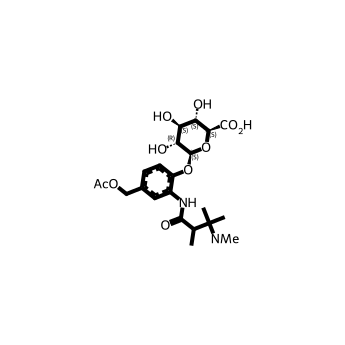 CNC(C)(C)C(C)C(=O)Nc1cc(COC(C)=O)ccc1O[C@@H]1O[C@H](C(=O)O)[C@@H](O)[C@H](O)[C@H]1O